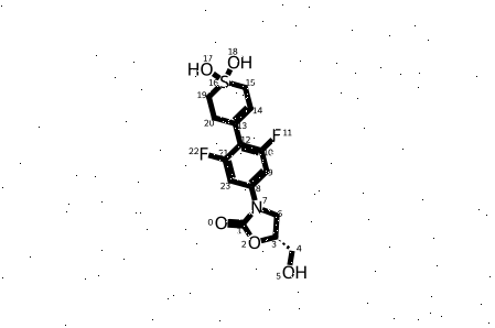 O=C1O[C@@H](CO)CN1c1cc(F)c(C2=CCS(O)(O)CC2)c(F)c1